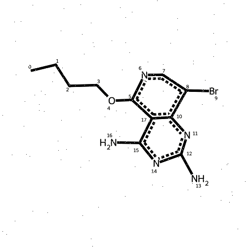 CCCCOc1ncc(Br)c2nc(N)nc(N)c12